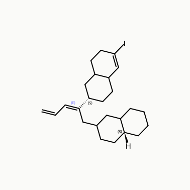 C=C/C=C(\CC1CC[C@H]2CCCCC2C1)[C@H]1CCC2C=C(I)CCC2C1